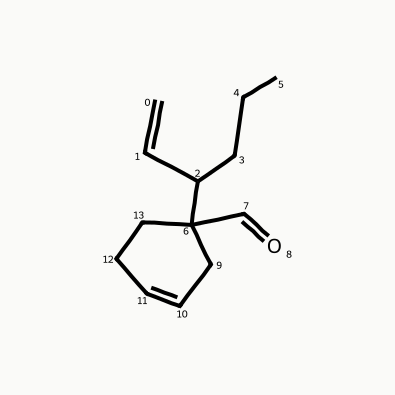 C=CC(CCC)C1(C=O)CC=CCC1